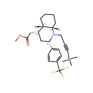 COC(=O)C[C@H]1C[C@@H](c2ccc(C(F)(F)F)cc2)N(CC#C[Si](C)(C)C)[C@H]2CCCC[C@@H]12